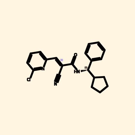 N#C/C(=C\c1cccc(Cl)n1)C(=O)N[C@H](c1ccccc1)C1CCCC1